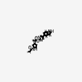 CCC(=O)N[C@H]1CC[C@@H](N(C)C(=O)Oc2ncc(-c3ccc4[nH]ccc4c3)cn2)C1